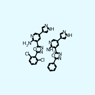 Nc1ncc(-c2cn[nH]c2)cc1-c1nnc(-c2c(Cl)cccc2Cl)o1.Nc1ncc(-c2cn[nH]c2)cc1-c1nnc(-c2ccccc2)o1